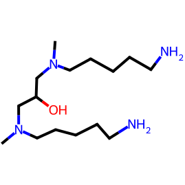 CN(CCCCCN)CC(O)CN(C)CCCCCN